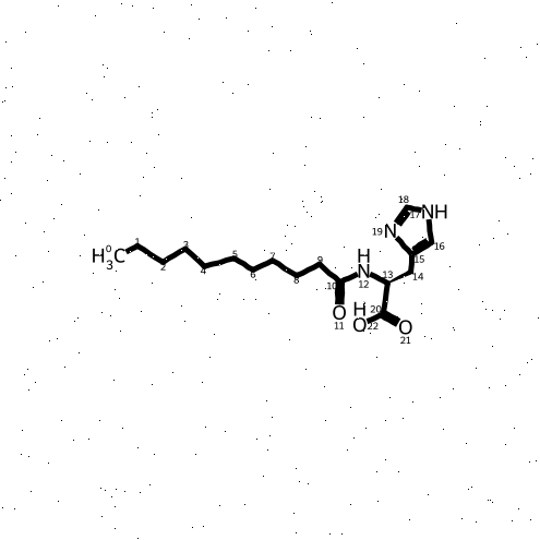 CCCCCCCCCCC(=O)N[C@@H](Cc1c[nH]cn1)C(=O)O